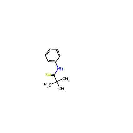 CC(C)(C)C(=S)Nc1ccccc1